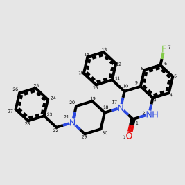 O=C1Nc2ccc(F)cc2C(c2ccccc2)N1C1CCN(Cc2ccccc2)CC1